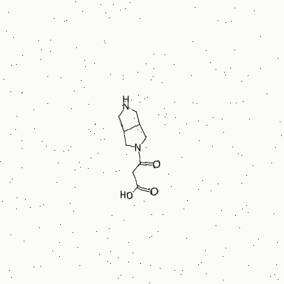 O=C(O)CC(=O)N1CC2CNCC2C1